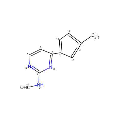 Cc1ccc(-c2ccnc(NC=O)n2)cc1